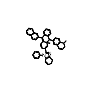 CC1CC=Cc2cc(C3c4ccccc4C(c4ccc5ccccc5c4)=C4C=CC(c5nc6c(n5-c5ccccc5)C=CCC6)=CC43C)ccc21